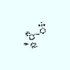 COc1cc(C=Cc2cccc(C(F)(F)F)c2)cc(-c2n[nH]nc2C#N)c1